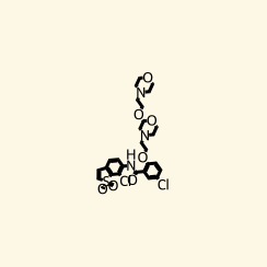 O=C(Nc1ccc2c(c1Cl)S(=O)(=O)C=C2)c1cc(Cl)ccc1OCCN1CCOC(OCCN2CCOCC2)C1